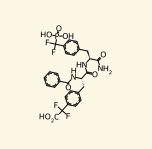 NC(=O)[C@H](Cc1ccc(C(F)(F)P(=O)(O)O)cc1)NC(=O)[C@H](Cc1ccc(C(F)(F)C(=O)O)cc1)NC(=O)c1ccccc1